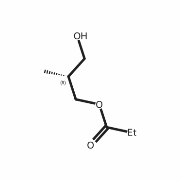 CCC(=O)OC[C@H](C)CO